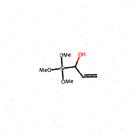 C=CC(O)[Si](OC)(OC)OC